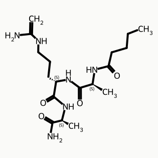 C=C(N)NCCC[C@H](NC(=O)[C@H](C)NC(=O)CCCC)C(=O)N[C@@H](C)C(N)=O